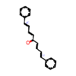 O=C(C=C/C=C/c1ccccc1)C=C/C=C/c1ccccc1